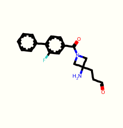 NC1(CCC=O)CN(C(=O)c2ccc(-c3ccccc3)c(F)c2)C1